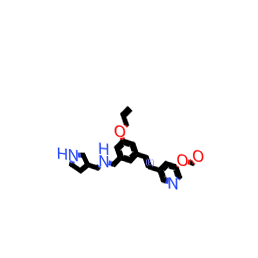 C=CCOc1cc(/C=C/c2cncc(OC=O)c2)cc(CNCC2CCNC2)c1